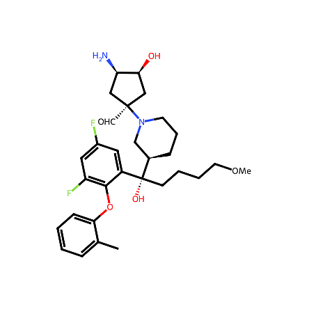 COCCCC[C@@](O)(c1cc(F)cc(F)c1Oc1ccccc1C)[C@@H]1CCCN([C@@]2(C=O)C[C@@H](N)[C@@H](O)C2)C1